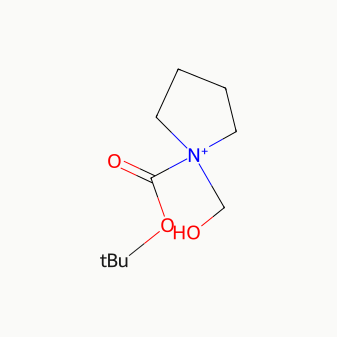 CC(C)(C)OC(=O)[N+]1(CO)CCCC1